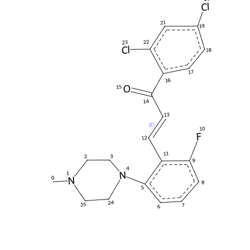 CN1CCN(c2cccc(F)c2/C=C/C(=O)c2ccc(Cl)cc2Cl)CC1